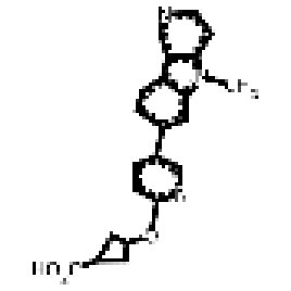 Cn1c2ccncc2c2ccc(-c3ccc(OC4CC(C(=O)O)C4)nc3)cc21